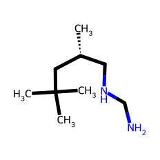 C[C@H](CNCN)CC(C)(C)C